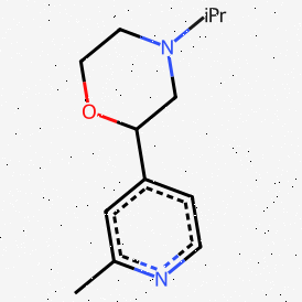 Cc1cc(C2CN(C(C)C)CCO2)ccn1